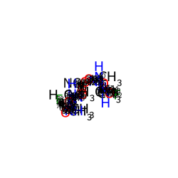 C[C@@H]1CN(CC(=O)N2CC(C)(C)c3[nH]c(=O)c(Cc4ccc(F)cc4)cc32)[C@@H](CN2CCOC(COc3cc(C#N)cc(OCC4CN(C[C@H]5CN[C@H](C)CN5CC(=O)N5CC(C)(C)c6[nH]c(=O)c(Cc7ccc(F)cc7)cc65)CCO4)c3)C2)CN1